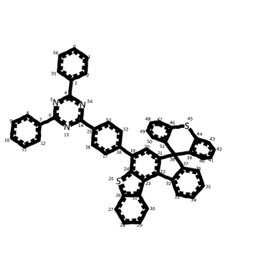 c1ccc(-c2nc(-c3ccccc3)nc(-c3ccc(-c4cc5c(c6c4sc4ccccc46)-c4ccccc4C54c5ccccc5Sc5ccccc54)cc3)n2)cc1